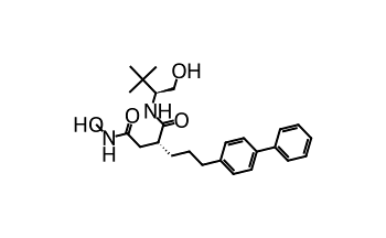 CC(C)(C)[C@@H](CO)NC(=O)[C@H](CCCc1ccc(-c2ccccc2)cc1)CC(=O)NO